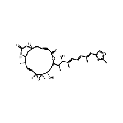 CC(/C=C/C=C(\C)[C@H](O)[C@@H](C)C1C[C@H](O)[C@]2(C)O[C@@H]2/C=C/[C@@H](C)[C@H]2C[C@@H](C/C=C/C(=O)O1)CC(=O)O2)=C\c1coc(C)n1